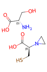 N[C@@H](CO)C(=O)O.O=C(O)[C@H](CS)N1CC1